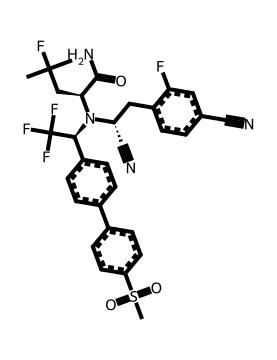 CC(C)(F)C[C@@H](C(N)=O)N([C@@H](c1ccc(-c2ccc(S(C)(=O)=O)cc2)cc1)C(F)(F)F)[C@@H](C#N)Cc1ccc(C#N)cc1F